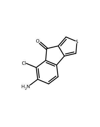 Nc1ccc2c(c1Cl)C(=O)c1cscc1-2